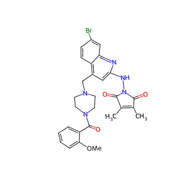 COc1ccccc1C(=O)N1CCN(Cc2cc(NN3C(=O)C(C)=C(C)C3=O)nc3cc(Br)ccc23)CC1